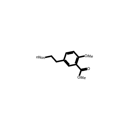 CCCCCCCCCCCc1ccc(OC)c(C(=O)OC)c1